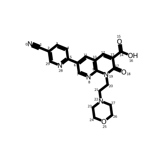 N#Cc1ccc(-c2cnc3c(c2)cc(C(=O)O)c(=O)n3CCN2CCOCC2)nc1